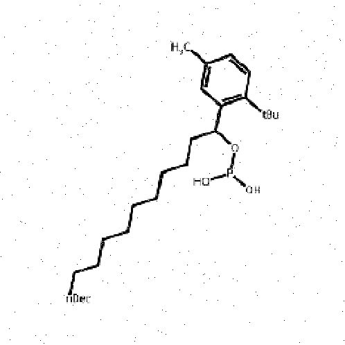 CCCCCCCCCCCCCCCCCCCC(OP(O)O)c1cc(C)ccc1C(C)(C)C